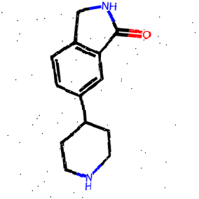 O=C1NCc2ccc(C3CCNCC3)cc21